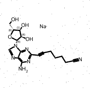 N#CCCCCC#Cc1nc(N)c2ncn([C@@H]3O[C@H](CO)[C@@H](O)[C@H]3O)c2n1.[Na]